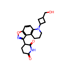 O=C1CCC(c2noc3ccc4c(c23)CCCN4C2CC(CO)C2)C(=O)N1